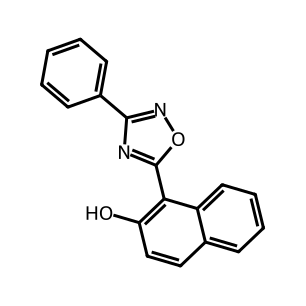 Oc1ccc2ccccc2c1-c1nc(-c2ccccc2)no1